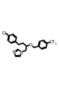 FC(F)(F)c1ccc(COC(CCc2ccc(Cl)cc2)Cn2ccnc2)cc1